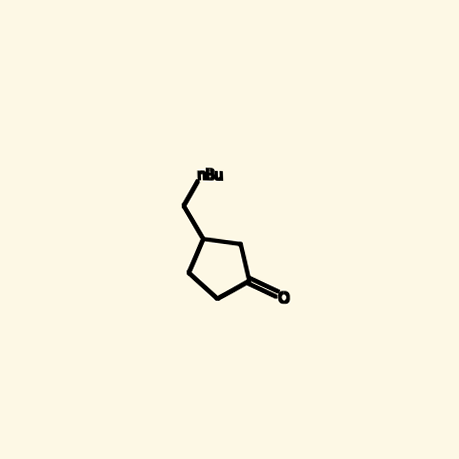 CCCCCC1CCC(=O)C1